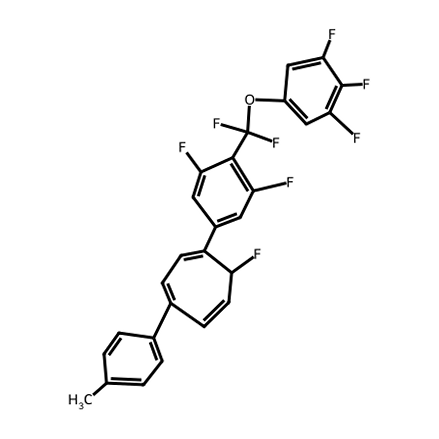 Cc1ccc(C2=CC=C(c3cc(F)c(C(F)(F)Oc4cc(F)c(F)c(F)c4)c(F)c3)C(F)C=C2)cc1